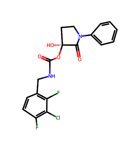 O=C(NCc1ccc(F)c(Cl)c1F)O[C@@]1(O)CCN(c2ccccc2)C1=O